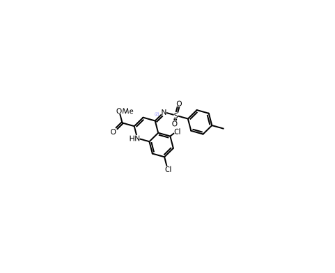 COC(=O)c1c/c(=N/S(=O)(=O)c2ccc(C)cc2)c2c(Cl)cc(Cl)cc2[nH]1